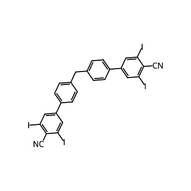 N#Cc1c(I)cc(-c2ccc(Cc3ccc(-c4cc(I)c(C#N)c(I)c4)cc3)cc2)cc1I